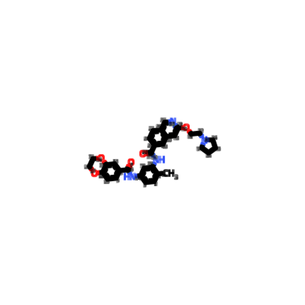 Cc1ccc(NC(=O)c2ccc3c(c2)OCCO3)cc1NC(=O)c1ccc2cnc(OCCN3CCCC3)cc2c1